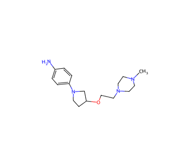 CN1CCN(CCOC2CCN(c3ccc(N)cc3)C2)CC1